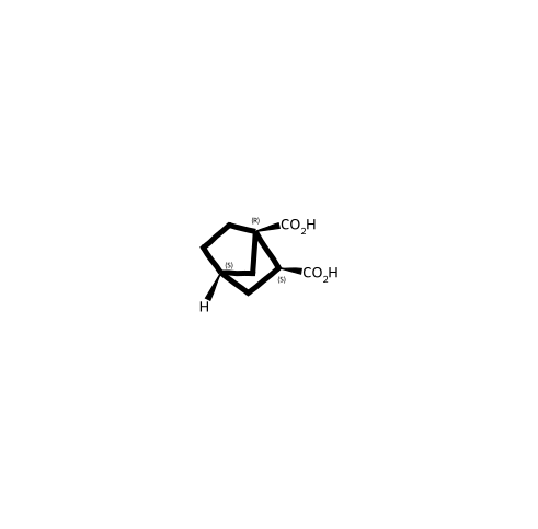 O=C(O)[C@H]1C[C@@H]2CC[C@@]1(C(=O)O)C2